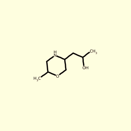 CC(O)CC1COC(C)CN1